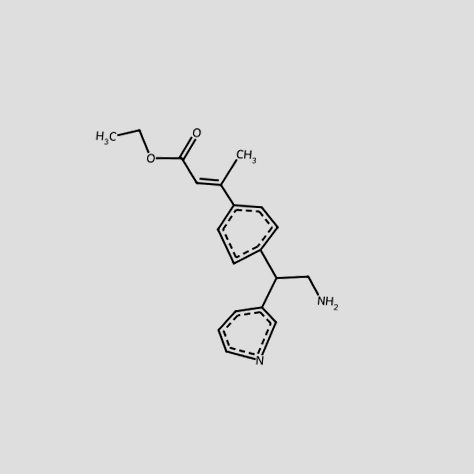 CCOC(=O)C=C(C)c1ccc(C(CN)c2cccnc2)cc1